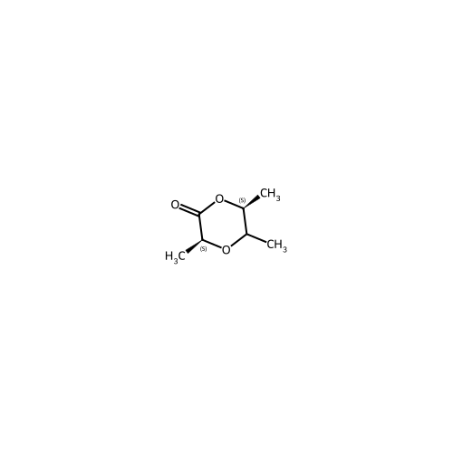 CC1O[C@@H](C)C(=O)O[C@H]1C